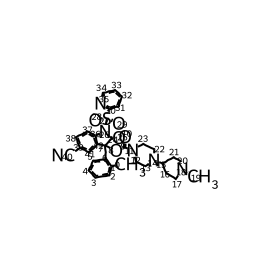 Cc1ccccc1C1(OC(=O)N2CCN(C3CCN(C)CC3)CC2)C(=O)N(S(=O)(=O)c2ccccn2)c2ccc(C#N)cc21